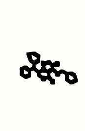 O=C1OCC(C(c2ccccc2)c2ccccc2)n2ncc(=O)c(OCc3ccccc3)c21